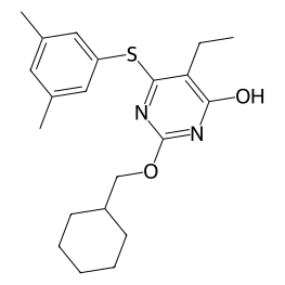 CCc1c(O)nc(OCC2CCCCC2)nc1Sc1cc(C)cc(C)c1